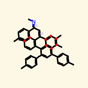 C/N=C(/C=C(/c1ccc(C)cc1)c1cc(C)ccc1-c1c(-c2ccc(C)cc2)cc(-c2ccc(C)cc2)c2cc(C)ccc12)c1ccc(C)cc1